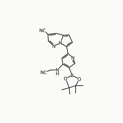 CC1(C)OB(c2cnc(-c3ccc4cc(C#N)cnn34)cc2NCC#N)OC1(C)C